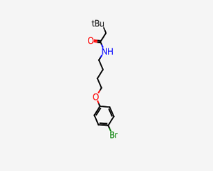 CC(C)(C)CC(=O)NCCCCOc1ccc(Br)cc1